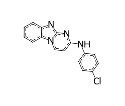 Clc1ccc(Nc2ccn3c(n2)nc2ccccc23)cc1